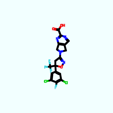 O=C(O)c1ncc2c(n1)CN(C1=NOC(c3cc(Cl)c(F)c(Cl)c3)(C(F)(F)F)C1)C2